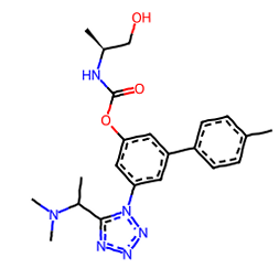 Cc1ccc(-c2cc(OC(=O)N[C@@H](C)CO)cc(-n3nnnc3C(C)N(C)C)c2)cc1